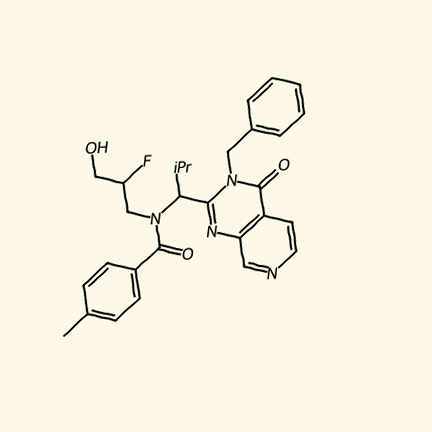 Cc1ccc(C(=O)N(CC(F)CO)C(c2nc3cnccc3c(=O)n2Cc2ccccc2)C(C)C)cc1